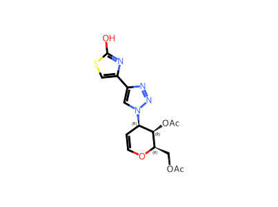 CC(=O)OC[C@H]1OC=C[C@@H](n2cc(-c3csc(O)n3)nn2)[C@H]1OC(C)=O